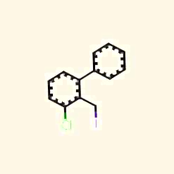 Clc1cccc(-c2ccccc2)c1CI